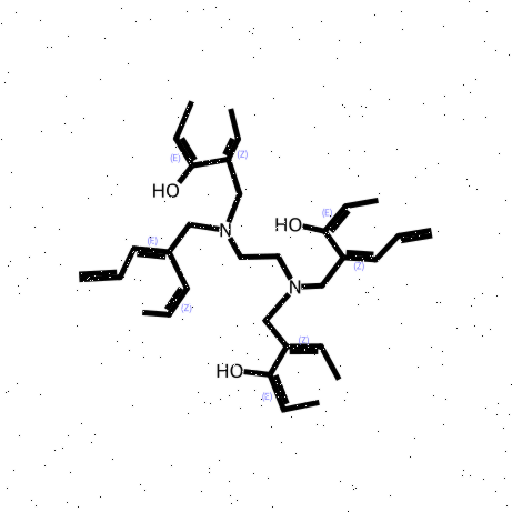 C=C/C=C(CN(CCN(CC(=C/C)/C(O)=C\C)CC(/C=C\C)=C/C=C)CC(=C/C)/C(O)=C\C)\C(O)=C/C